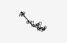 Cc1cc(Cl)cc(-c2ccnc3cc(CN4C(=O)CCC4=O)sc23)c1OC1CCN(CCCNC(=O)CCCCCCCNC(=O)OC(C)(C)C)CC1